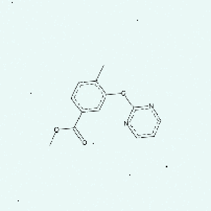 COC(=O)c1ccc(C)c(Oc2ncccn2)c1